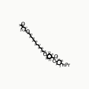 CCCC1CCC(OC(=O)c2ccc(OCCCCCCCCCCCCOCCC3(C)CO3)cc2)CC1